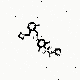 O=S(=O)(Nc1ccsn1)c1c(F)cc(NCc2c(F)cccc2CN2CCC2)cc1F